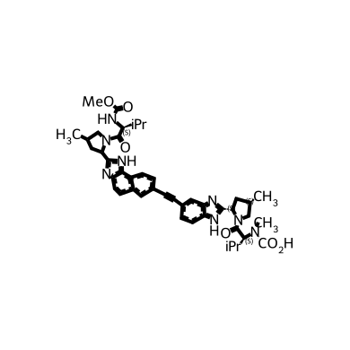 COC(=O)N[C@H](C(=O)N1CC(C)CC1c1nc2ccc3cc(C#Cc4ccc5[nH]c([C@@H]6C[C@H](C)CN6C(=O)[C@H](C(C)C)N(C)C(=O)O)nc5c4)ccc3c2[nH]1)C(C)C